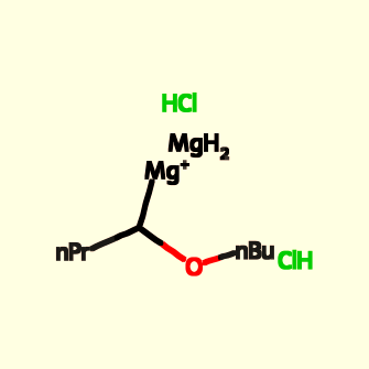 CCCCO[CH]([Mg+])CCC.Cl.Cl.[MgH2]